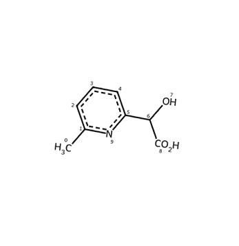 Cc1cccc(C(O)C(=O)O)n1